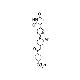 O=C1CCC(c2ccc(N3CCC(CC(=O)N4CCC(C(=O)O)CC4)CC3)nc2)C(=O)N1.[Ar]